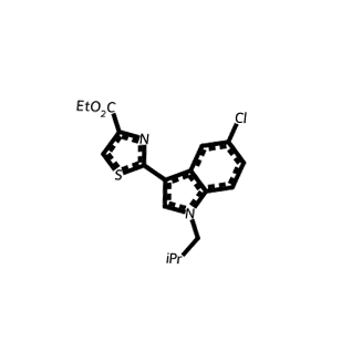 CCOC(=O)c1csc(-c2cn(CC(C)C)c3ccc(Cl)cc23)n1